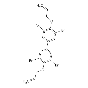 C=CCOc1c(Br)cc(-c2cc(Br)c(OCC=C)c(Br)c2)cc1Br